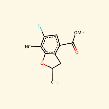 COC(=O)c1cc(F)c(C#N)c2c1CC(C)O2